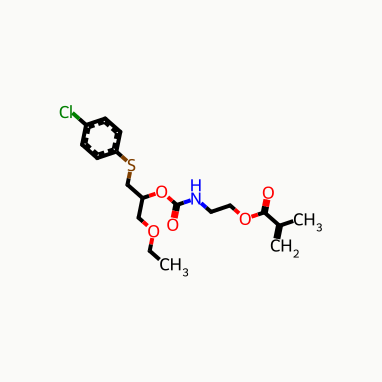 C=C(C)C(=O)OCCNC(=O)OC(COCC)CSc1ccc(Cl)cc1